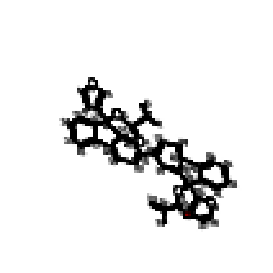 C=C(C)C(=O)OC1(c2ccoc2)c2ccccc2-c2ccc(-c3ccc4c(c3)C(OC(=O)C(=C)C)(c3ccco3)c3ccccc3-4)cc21